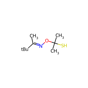 C/C(=N\OC(C)(C)S)C(C)(C)C